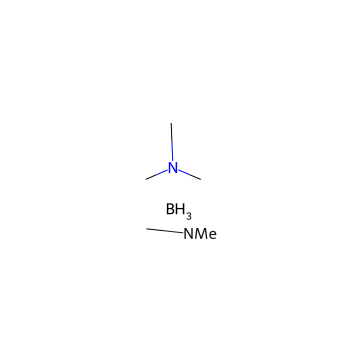 B.CN(C)C.CNC